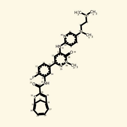 CN(C)CCN(C)c1ccc(Nc2cc(-c3ccc(F)c(NC(=O)C4=CC5=CC=CC=C(C5)S4)c3)nn(C)c2=O)nc1